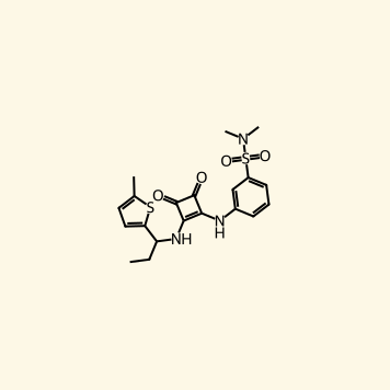 CCC(Nc1c(Nc2cccc(S(=O)(=O)N(C)C)c2)c(=O)c1=O)c1ccc(C)s1